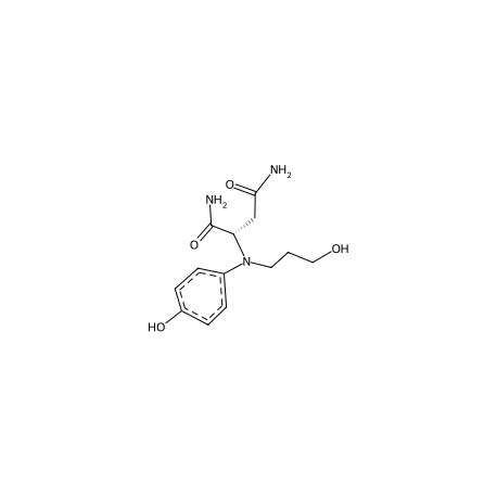 NC(=O)C[C@@H](C(N)=O)N(CCCO)c1ccc(O)cc1